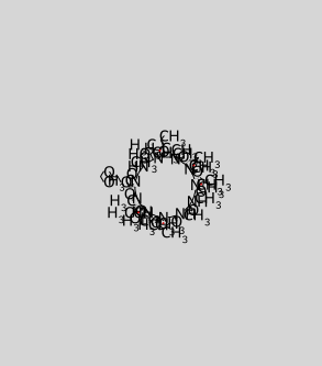 C/C=C/C[C@@H](C)[C@@H](O)[C@H]1C(=O)N[C@@H](CC)C(=O)N(C)[C@H](COCCC2OCCCO2)C(=O)N(C)[C@@H](CC(C)(C)O)C(=O)N[C@@H](C(C)C)C(=O)N(C)[C@@H](CC(C)C)C(=O)N[C@@H](C)C(=O)N[C@H](C)C(=O)N(C)[C@@H](CC(C)C)C(=O)N(C)[C@@H](CC(C)C)C(=O)N(C)[C@@H](C(C)C)C(=O)N1C